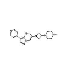 CN1CCN(C2CN(c3cnc4c(-c5ccncc5)cnn4c3)C2)CC1